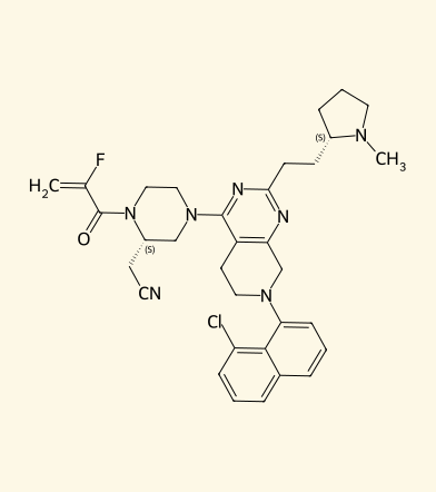 C=C(F)C(=O)N1CCN(c2nc(CC[C@@H]3CCCN3C)nc3c2CCN(c2cccc4cccc(Cl)c24)C3)C[C@@H]1CC#N